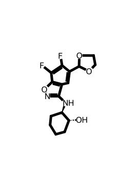 O[C@@H]1CCCC[C@H]1Nc1noc2c(F)c(F)c(C3OCCO3)cc12